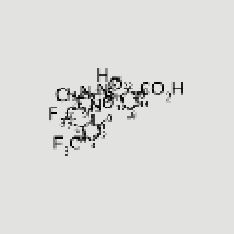 Cc1ccc(C(F)(F)F)c(C)c1-c1nc(NS(=O)(=O)c2cccc(C(=O)O)c2)nc(Cl)c1C(F)(F)F